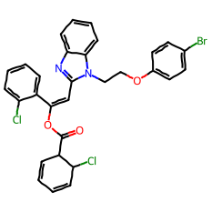 O=C(O/C(=C/c1nc2ccccc2n1CCOc1ccc(Br)cc1)c1ccccc1Cl)C1C=CC=CC1Cl